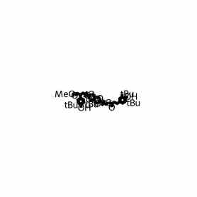 COOCC(CC(C)(C)C1OCC2(COC(C(C)(C)COC(=O)CCc3cc(C(C)(C)C)c(O)c(C(C)(C)C)c3)OC2)CO1)c1cc(C(C)(C)C)c(O)c(C(C)(C)C)c1